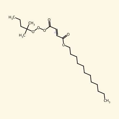 CCCCCCCCCCCCOC(=O)/C=C/C(=O)OOOC(C)(C)CCC